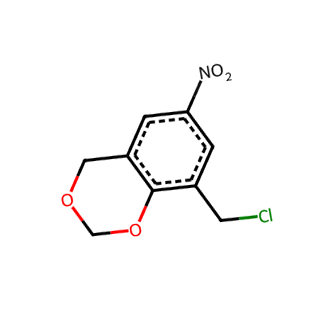 O=[N+]([O-])c1cc(CCl)c2c(c1)COCO2